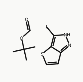 CC(C)(C)OC=O.Ic1[nH]nc2ccsc12